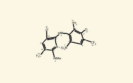 CNc1nc(Nc2c([N+](=O)[O-])cc(C(F)(F)F)c(Cl)c2[N+](=O)[O-])c(Cl)cc1C(F)(F)F